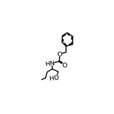 CCCC(CO)NC(=O)OCc1ccccc1